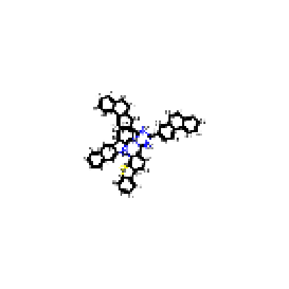 c1ccc2cc3c(cc2c1)c1ccccc1n3-c1c(-c2nc(-c3ccc4c(ccc5ccccc54)c3)nc(-c3ccc4c(ccc5ccccc54)c3)n2)ccc2c1sc1ccccc12